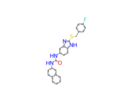 O=C(Nc1ccc2ccccc2c1)Nc1ccc2[nH]c(SCc3ccc(F)cc3)nc2c1